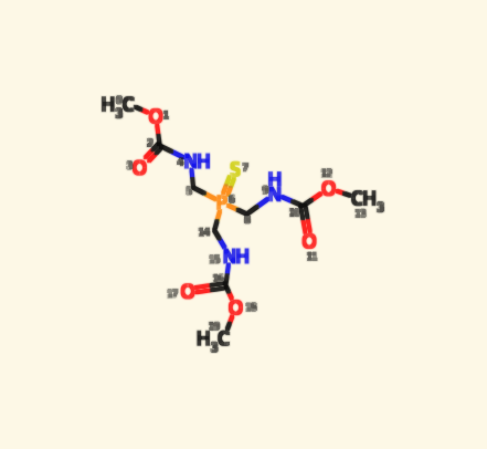 COC(=O)NCP(=S)(CNC(=O)OC)CNC(=O)OC